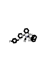 N#C/N=C(/N[C@@H]1CCCC[C@H]1CN1CCC[C@@H](Cc2ccc(F)cc2)C1)NC12CC3CC(CC(C3)C1)C2